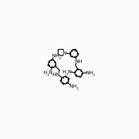 Nc1ccc(N)c(CNc2cccc(N3CCCC3)c2)c1.Nc1ccc(NCc2cc(N)ccc2N)cc1